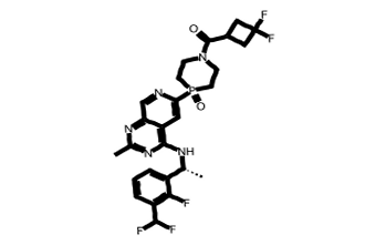 Cc1nc(N[C@H](C)c2cccc(C(F)F)c2F)c2cc(P3(=O)CCN(C(=O)C4CC(F)(F)C4)CC3)ncc2n1